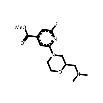 COC(=O)c1cc(Cl)nc(N2CCOC(CN(C)C)C2)c1